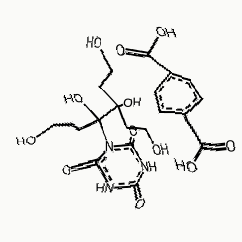 O=C(O)c1ccc(C(=O)O)cc1.O=c1[nH]c(=O)n(C(O)(CCO)C(O)(CCO)CCO)c(=O)[nH]1